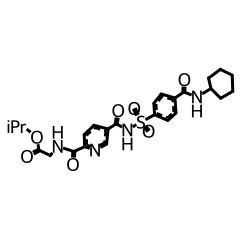 CC(C)OC(=O)CNC(=O)c1ccc(C(=O)NS(=O)(=O)c2ccc(C(=O)NC3CCCCC3)cc2)cn1